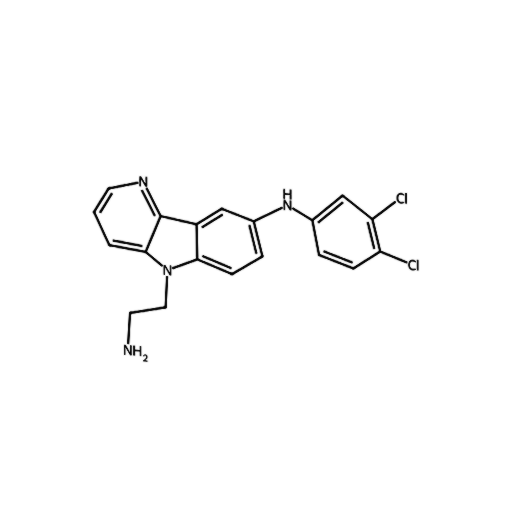 NCCn1c2ccc(Nc3ccc(Cl)c(Cl)c3)cc2c2ncccc21